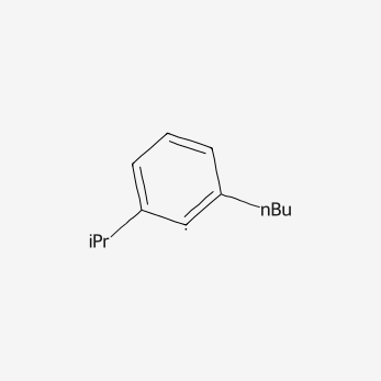 CCCCc1[c]c(C(C)C)ccc1